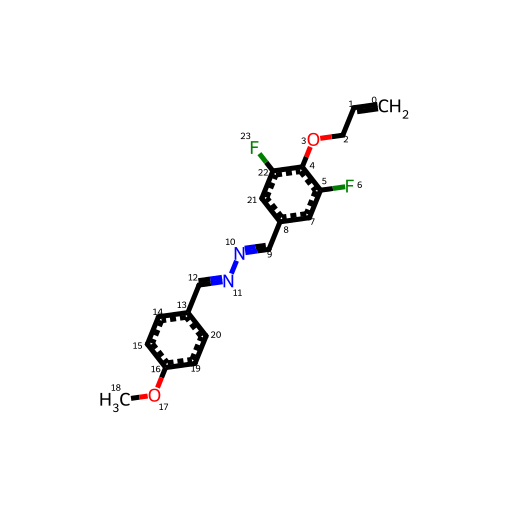 C=CCOc1c(F)cc(C=NN=Cc2ccc(OC)cc2)cc1F